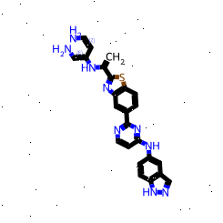 C=C(NC(/C=C\N)=C/N)c1nc2cc(-c3nccc(Nc4ccc5[nH]ncc5c4)n3)ccc2s1